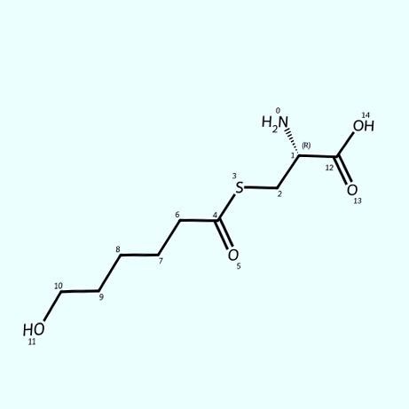 N[C@@H](CSC(=O)CCCCCO)C(=O)O